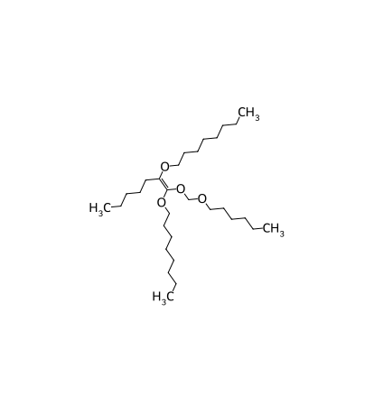 CCCCCCCCOC(CCCCC)=C(OCCCCCCCC)OCOCCCCCC